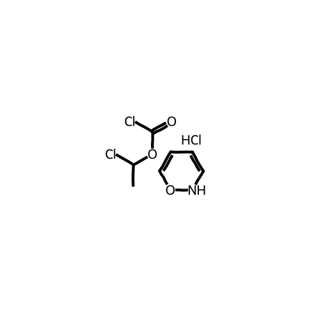 C1=CNOC=C1.CC(Cl)OC(=O)Cl.Cl